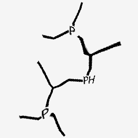 CC(PC(C)P(C)C)P(C)C